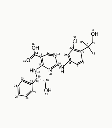 CC(C)(CO)c1ccc(Nc2ncc(C(=O)O)c(N[C@H](CO)c3ccccc3)n2)cc1Cl